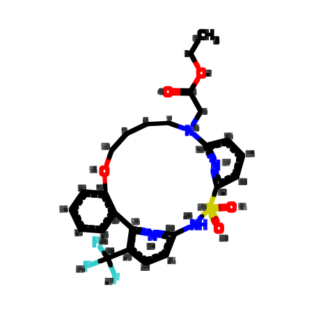 CCOC(=O)CN1CCCCOc2ccccc2-c2nc(ccc2C(F)(F)F)NS(=O)(=O)c2cccc1n2